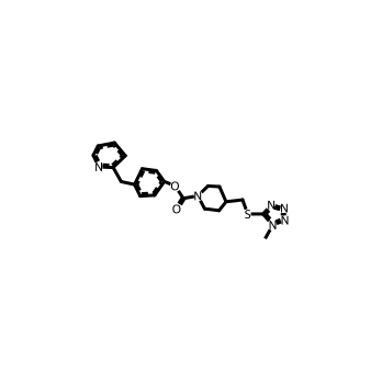 Cn1nnnc1SCC1CCN(C(=O)Oc2ccc(Cc3ccccn3)cc2)CC1